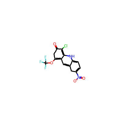 O=C1CC(OC(F)(F)F)=C2C=C3CC([N+](=O)[O-])=CC=C3NC2=C1Cl